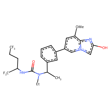 CCN(C(=O)NC(CCC(F)(F)F)C(F)(F)F)C(C)c1cccc(-c2cc(OC)c3nc(O)cn3c2)c1